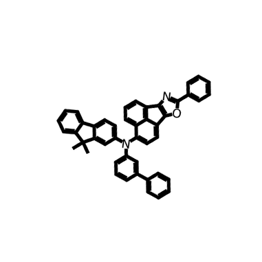 CC1(C)c2ccccc2-c2ccc(N(c3cccc(-c4ccccc4)c3)c3ccc4c5c(cccc35)-c3nc(-c5ccccc5)oc3-4)cc21